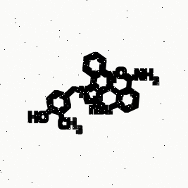 CCCCc1cccc(C(N)=O)c1-c1nc2ccccc2c2c1ncn2Cc1ccc(O)c(C)c1